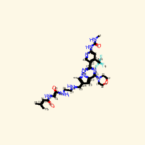 CNC(=O)Nc1cc(C(F)(F)F)c(-c2nc(N3CCOCC3)c3cc(CNCCNC(=O)CNC(=O)C=C(C)C)cn3n2)cn1